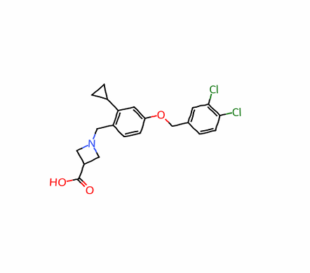 O=C(O)C1CN(Cc2ccc(OCc3ccc(Cl)c(Cl)c3)cc2C2CC2)C1